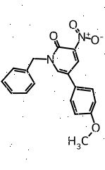 COc1ccc(-c2cc([N+](=O)[O-])c(=O)n(Cc3ccccc3)c2)cc1